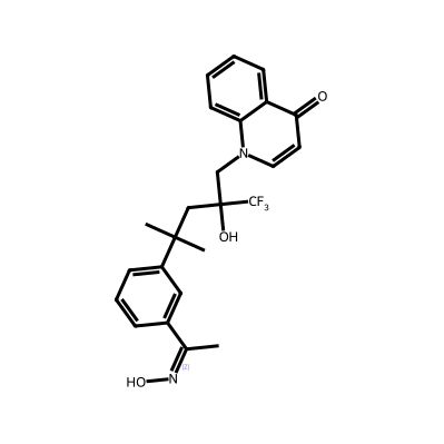 C/C(=N/O)c1cccc(C(C)(C)CC(O)(Cn2ccc(=O)c3ccccc32)C(F)(F)F)c1